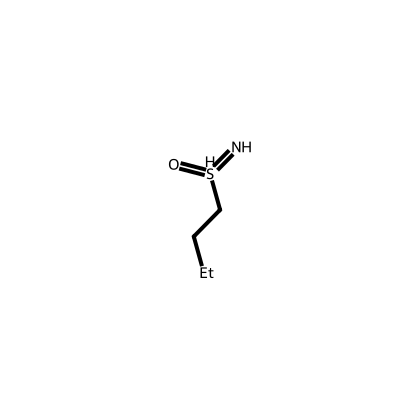 CCCC[SH](=N)=O